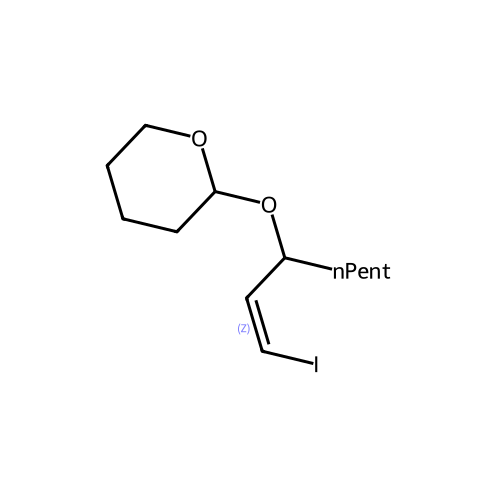 CCCCCC(/C=C\I)OC1CCCCO1